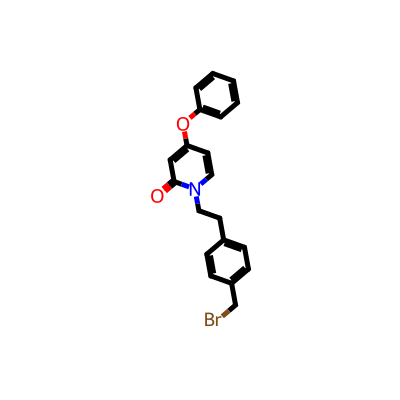 O=c1cc(Oc2ccccc2)ccn1CCc1ccc(CBr)cc1